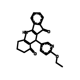 CCOc1ccc(C2C3=C(CCCC3=O)NC3=C2C(=O)c2ccccc23)cn1